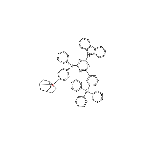 c1ccc([Si](c2ccccc2)(c2ccccc2)c2cccc(-c3nc(-n4c5ccccc5c5ccccc54)nc(-n4c5ccccc5c5cc(N6C7CC8CC(C7)CC6C8)ccc54)n3)c2)cc1